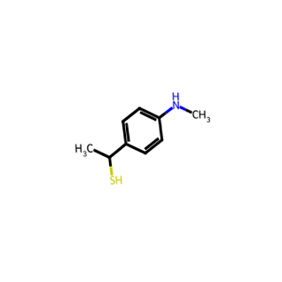 CNc1ccc(C(C)S)cc1